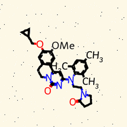 COc1cc2c(cc1OCC1CC1)CCn1c-2cc(N(CCN2CCCC2=O)c2c(C)cc(C)cc2C)nc1=O